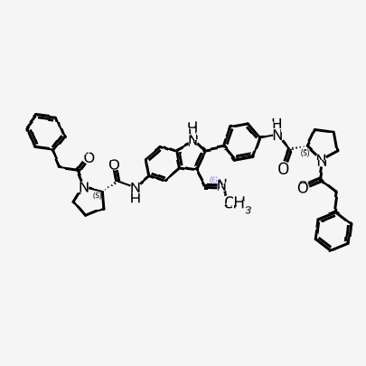 C/N=C/c1c(-c2ccc(NC(=O)[C@@H]3CCCN3C(=O)Cc3ccccc3)cc2)[nH]c2ccc(NC(=O)[C@@H]3CCCN3C(=O)Cc3ccccc3)cc12